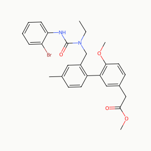 CCN(Cc1cc(C)ccc1-c1cc(CC(=O)OC)ccc1OC)C(=O)Nc1ccccc1Br